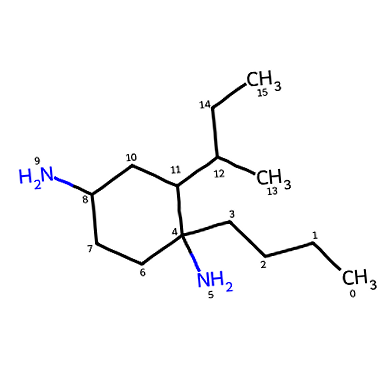 CCCCC1(N)CCC(N)CC1C(C)CC